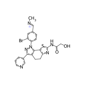 C/N=C/c1ccc(-n2nc(-c3cccnc3)c3c2-c2sc(NC(=O)CO)nc2CC3)c(Br)c1